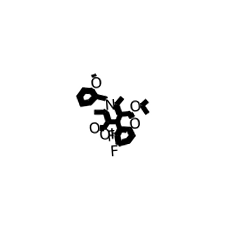 COc1ccccc1CN1C(C)=C(C(=O)O)C(c2cccc(F)c2F)C(C(=O)OC(C)C)=C1C